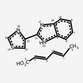 C/C=C/C=C/C(=O)O.c1ccc2[nH]c(-c3cscn3)nc2c1